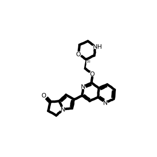 O=C1CCn2cc(-c3cc4ncccc4c(OC[C@@H]4CNCCO4)n3)cc21